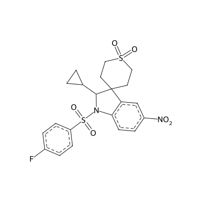 O=[N+]([O-])c1ccc2c(c1)C1(CCS(=O)(=O)CC1)C(C1CC1)N2S(=O)(=O)c1ccc(F)cc1